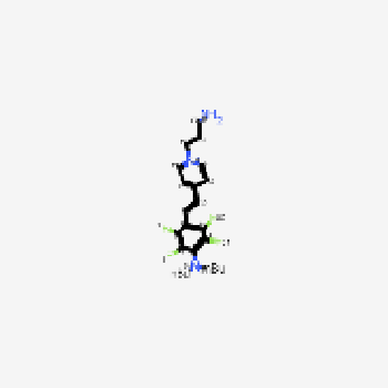 CCCCN(CCCC)c1c(F)c(F)c(C=Cc2cc[n+](CCCN)cc2)c(F)c1F